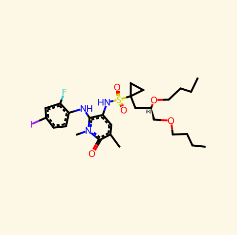 CCCCOC[C@@H](CC1(S(=O)(=O)Nc2cc(C)c(=O)n(C)c2Nc2ccc(I)cc2F)CC1)OCCCC